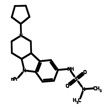 CCCN1c2ccc(NS(=O)(=O)N(C)C)cc2C2CN(C3CCCC3)CCC21